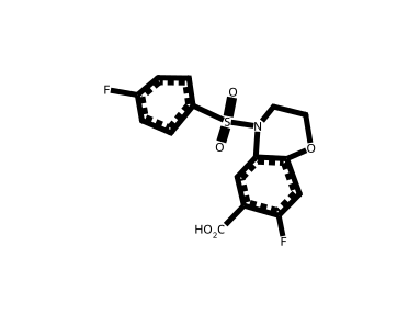 O=C(O)c1cc2c(cc1F)OCCN2S(=O)(=O)c1ccc(F)cc1